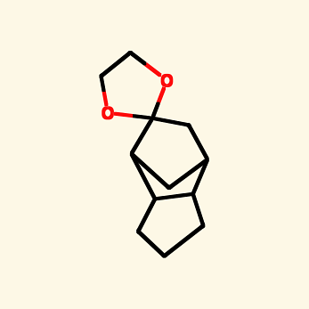 C1CC2C3CC(C2C1)C1(C3)OCCO1